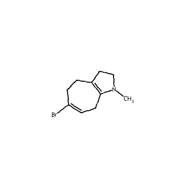 CN1CCC2=C1CC=C(Br)CC2